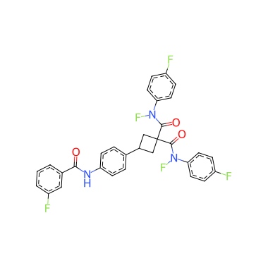 O=C(Nc1ccc(C2CC(C(=O)N(F)c3ccc(F)cc3)(C(=O)N(F)c3ccc(F)cc3)C2)cc1)c1cccc(F)c1